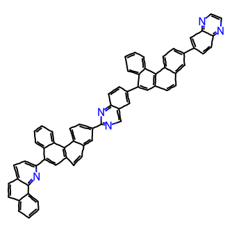 c1ccc2c(c1)ccc1ccc(-c3cc4ccc5cc(-c6ncc7cc(-c8cc9ccc%10cc(-c%11ccc%12nccnc%12c%11)ccc%10c9c9ccccc89)ccc7n6)ccc5c4c4ccccc34)nc12